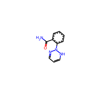 NC(=O)c1ccccc1N1N=CC=CN1